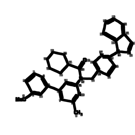 COc1cccc(-c2cc(C)nc(N(Cc3ccc(-n4ncc5ccccc54)nc3)C(=O)C3CCCCC3)c2)c1